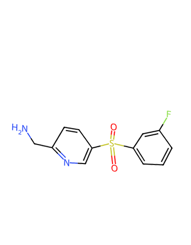 NCc1ccc(S(=O)(=O)c2cccc(F)c2)cn1